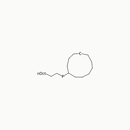 CCCCCCCCCC[P]C1CCCCCCCCCC1